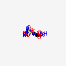 COc1cc(-c2cn(C)c(=O)c3cc(C(=O)NC4CCN(c5ccc6c(c5)C(=O)N(C5CCC(=O)NC5=O)C6=O)CC4(F)F)sc23)cc(OC)c1CN(C)C